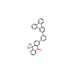 CCC1(CC)c2ccccc2C(=O)c2cc(-c3cccc(-c4ccc5c6ccccc6c6ccccc6c5c4)c3)ccc21